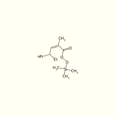 CCCC(C=C(C)C(=O)OO[Si](C)(C)C)CC